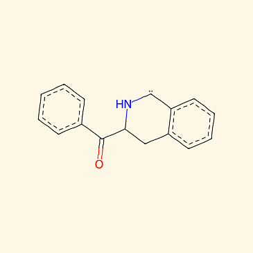 O=C(c1ccccc1)C1Cc2ccccc2[C]N1